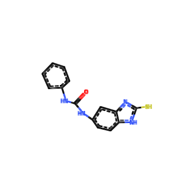 O=C(Nc1ccccc1)Nc1ccc2[nH]c(S)nc2c1